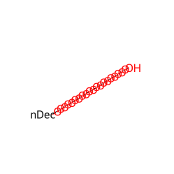 CCCCCCCCCCCCCOCCOCCOCCOCCOCCOCCOCCOCCOCCOCCOCCOCCOCCOCCOCCOCCOCCOCCOCCOCCO